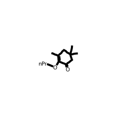 CCCOC1=C(C)CC(C)(C)CC1=O